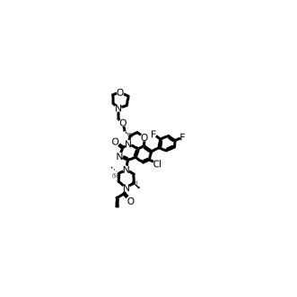 C=CC(=O)N1C[C@H](C)N(c2nc(=O)n3c4c(c(-c5ccc(F)cc5F)c(Cl)cc24)OC[C@H]3COCN2CCOCC2)C[C@H]1C